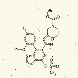 CCCCOC(=O)N1CCn2nc(-c3nc(OS(=O)(=O)C(F)(F)F)c4ccsc4c3-c3ccc(F)cc3OC(C)C)cc2C1